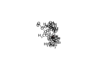 C=C1C[C@H](CCC2OCCO2)O[C@H]1CC[C@H]1C[C@@H](C)C(=C)[C@@H](C[C@@H]2O[C@H](CC(CO[Si](C)(C)C(C)(C)C)O[Si](C)(C)C(C)(C)C)[C@H](OC)[C@H]2CC(=O)C(c2cc([SH](=O)=O)ccc2C)[C@H]2CC[C@@H]3O[C@@H](C(/C=C/I)O[Si](C)(C)C(C)(C)C)C(O[Si](C)(C)C(C)(C)C)C(O[Si](C)(C)C(C)(C)C)[C@H]3O2)O1